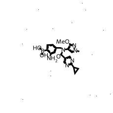 COc1nn(C)cc1N(Cc1ccc(B(O)O)c(N)c1)C(=O)c1cnc(C2CC2)nc1